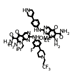 CCn1c(N)c(C(N)=O)c(=O)c2cnc(Nc3ccc(C4=CCNCC4)cc3)nc21.COc1cc(C2CCN(CCC(F)(F)F)CC2)c(F)cc1Nc1ncc2c(=O)c(C(N)=O)c(N)n(CC(C)C)c2n1